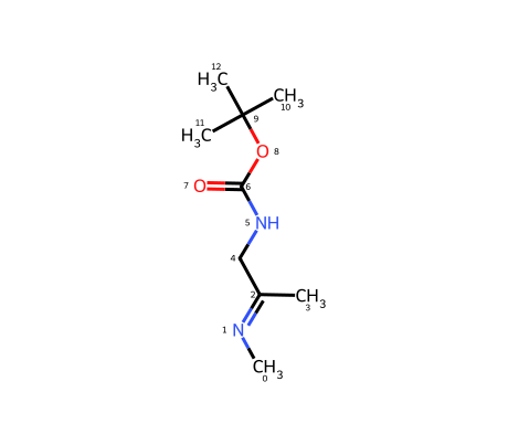 C/N=C(\C)CNC(=O)OC(C)(C)C